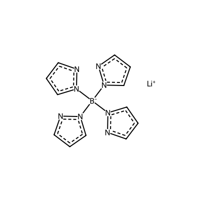 [Li+].c1cnn([B-](n2cccn2)(n2cccn2)n2cccn2)c1